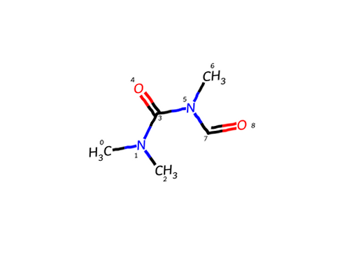 CN(C)C(=O)N(C)C=O